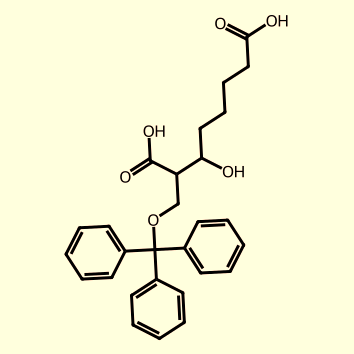 O=C(O)CCCCC(O)C(COC(c1ccccc1)(c1ccccc1)c1ccccc1)C(=O)O